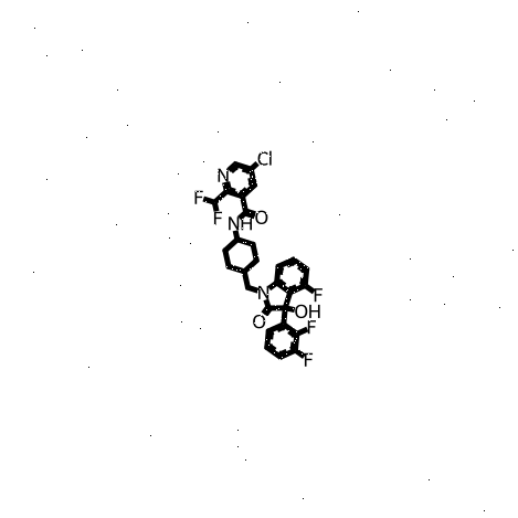 O=C(NC1CCC(CN2C(=O)C(O)(c3cccc(F)c3F)c3c(F)cccc32)CC1)c1cc(Cl)cnc1C(F)F